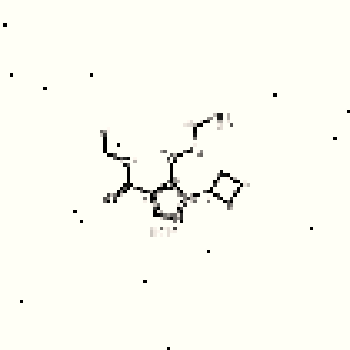 CCOC(=O)c1cnn(C2CCC2)c1OCCN.Cl